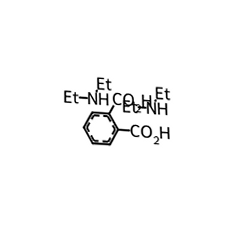 CCNCC.CCNCC.O=C(O)c1ccccc1C(=O)O